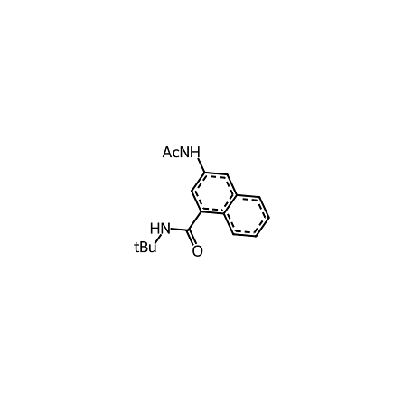 [CH2]C(=O)Nc1cc(C(=O)NC(C)(C)C)c2ccccc2c1